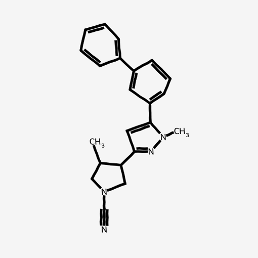 CC1CN(C#N)CC1c1cc(-c2cccc(-c3ccccc3)c2)n(C)n1